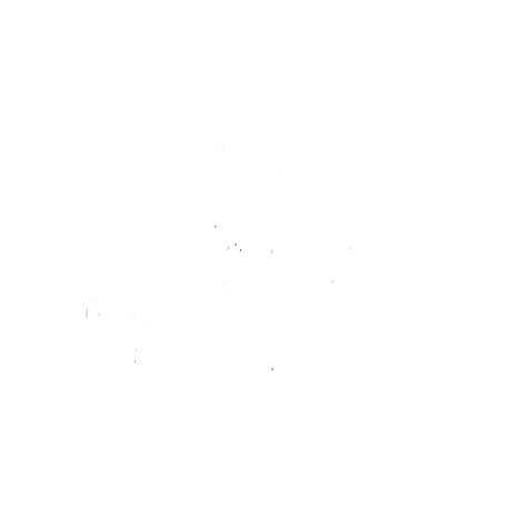 CCCc1cc(CCC)c2c(c1)Sc1ccccc1N2CCCS(=O)(=O)O